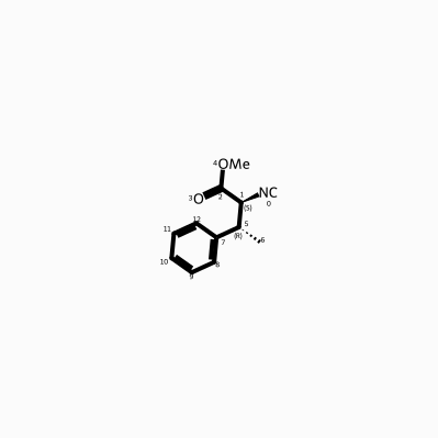 [C-]#[N+][C@H](C(=O)OC)[C@H](C)c1ccccc1